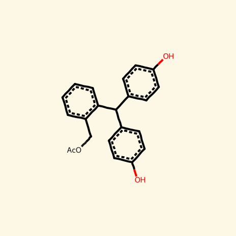 CC(=O)OCc1ccccc1C(c1ccc(O)cc1)c1ccc(O)cc1